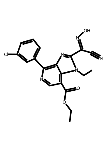 CCOC(=O)c1cnc(-c2cccc(Cl)c2)c2nc(C(C#N)=NO)n(CC)c12